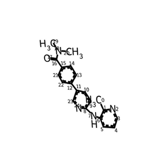 Cc1ncccc1Nc1ccc(-c2ccc(C(=O)N(C)C)cc2)cn1